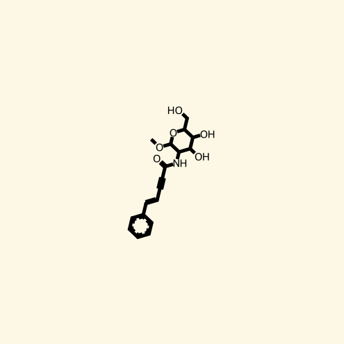 COC1OC(CO)C(O)C(O)C1NC(=O)C#C/C=C/c1ccccc1